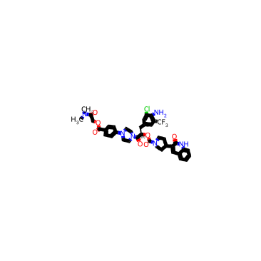 CN(C)C(=O)COC(=O)c1ccc(N2CCN(C(=O)[C@@H](Cc3cc(Cl)c(N)c(C(F)(F)F)c3)OC(=O)N3CCC(c4cc5ccccc5[nH]c4=O)CC3)CC2)cc1